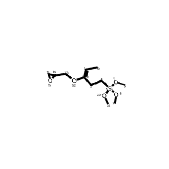 CC=C(CC[Si](OC)(OC)OC)OCC1CO1